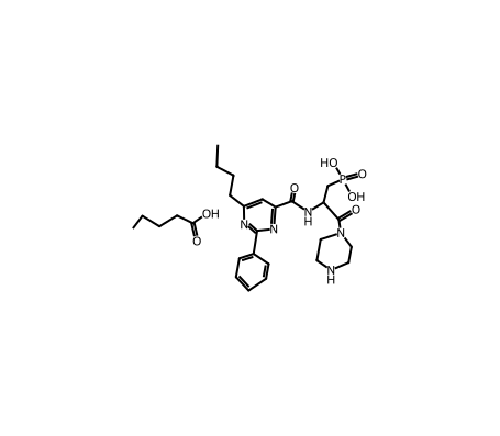 CCCCC(=O)O.CCCCc1cc(C(=O)NC(CP(=O)(O)O)C(=O)N2CCNCC2)nc(-c2ccccc2)n1